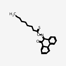 CCCCCCCCC(=S)ON=C1C(=O)c2ccccc2-c2ccccc21